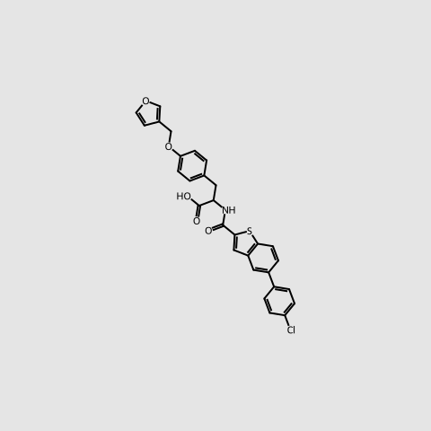 O=C(NC(Cc1ccc(OCc2ccoc2)cc1)C(=O)O)c1cc2cc(-c3ccc(Cl)cc3)ccc2s1